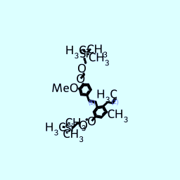 C/C=C\Cc1c(C)cc(OCOCC[Si](C)(C)C)cc1/C=C/c1ccc(OCOCC[Si](C)(C)C)c(OC)c1